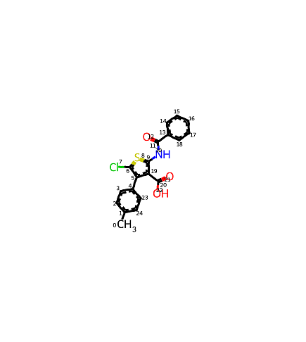 Cc1ccc(-c2c(Cl)sc(NC(=O)c3ccccc3)c2C(=O)O)cc1